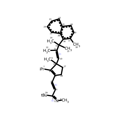 C/N=C(\C=C\C1=C(C(C)C)C(C)(/C=C(\C)C(C)(C)c2c(C)ccc3ccccc23)CC1)C(C)(C)C